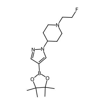 CC1(C)OB(c2cnn(C3CCN(CCF)CC3)c2)OC1(C)C